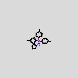 Cc1ccc(P(=NC2=CC=CC2)(c2ccc(C)cc2)c2ccc(C)cc2)cc1